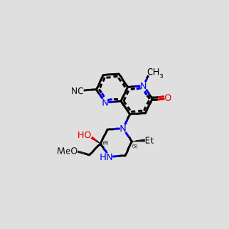 CC[C@H]1CN[C@](O)(COC)CN1c1cc(=O)n(C)c2ccc(C#N)nc12